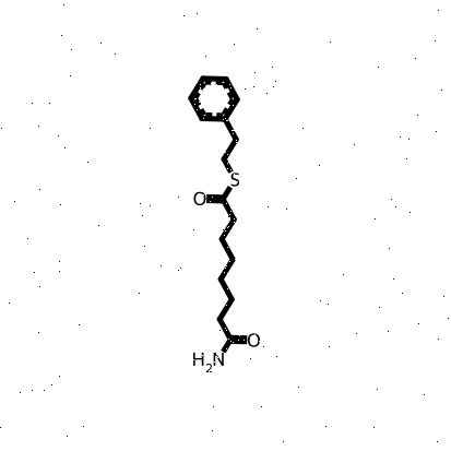 NC(=O)CCCCCCC(=O)SCCc1ccccc1